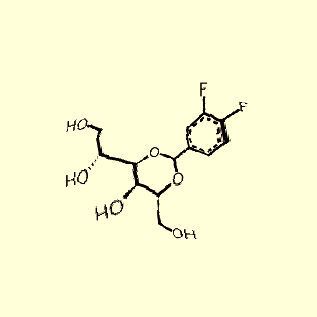 OC[C@@H](O)[C@H]1OC(c2ccc(F)c(F)c2)O[C@@H](CO)[C@H]1O